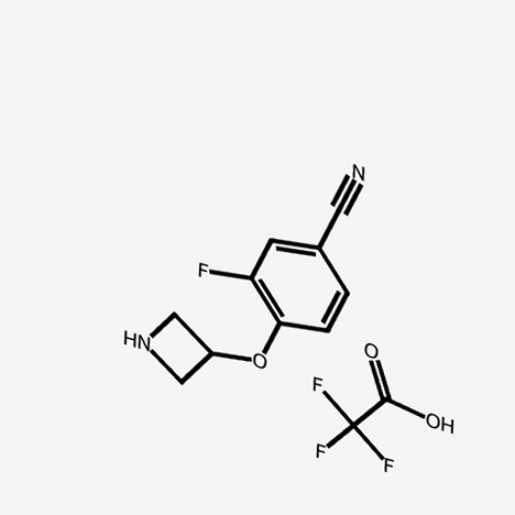 N#Cc1ccc(OC2CNC2)c(F)c1.O=C(O)C(F)(F)F